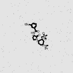 CC(C)N(C)[C@@H]1CC[C@H](N2CC[C@H](NC(=O)c3cccc(C(C)(C)C)c3)C2=O)[C@@H](CS(C)(=O)=O)C1